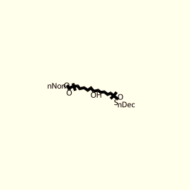 CCCCCCCCCCSC(=O)C(C)(C)CCCCCC(O)CCCCCC(C)(C)C(=O)OCCCCCCCCC